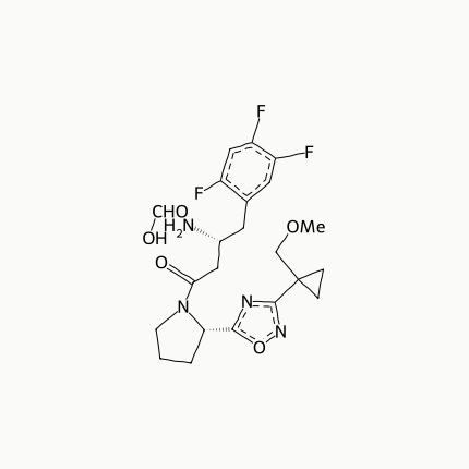 COCC1(c2noc([C@@H]3CCCN3C(=O)C[C@H](N)Cc3cc(F)c(F)cc3F)n2)CC1.O=CO